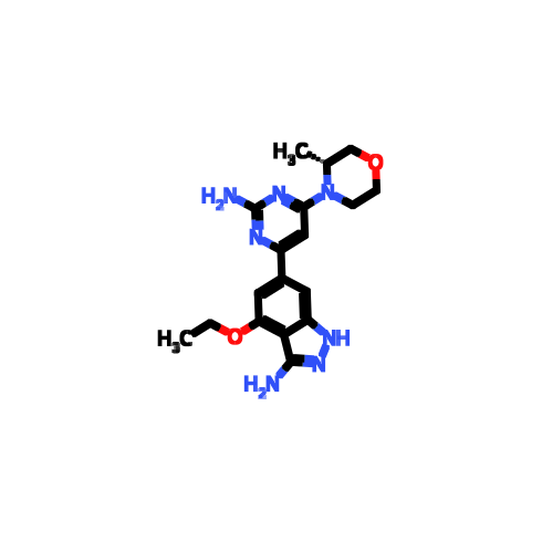 CCOc1cc(-c2cc(N3CCOC[C@H]3C)nc(N)n2)cc2[nH]nc(N)c12